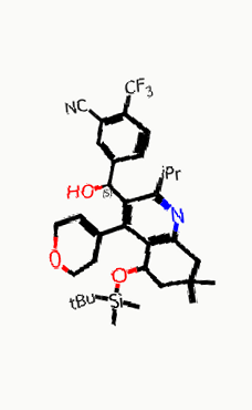 CC(C)c1nc2c(c(C3=CCOCC3)c1[C@@H](O)c1ccc(C(F)(F)F)c(C#N)c1)C(O[Si](C)(C)C(C)(C)C)CC(C)(C)C2